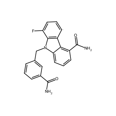 NC(=O)c1cccc(Cn2c3cccc(C(N)=O)c3c3[c]ccc(F)c32)c1